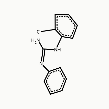 NC(=Nc1ccccc1)Nc1ccccc1Cl